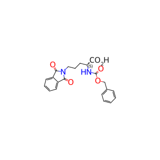 O=C(N[C@@H](CCCN1C(=O)c2ccccc2C1=O)C(=O)O)OCc1ccccc1